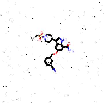 CCS(=O)(=O)N1CCC(c2c[nH]c3c(C(N)=O)cc(OCc4cccc(C#N)c4)cc23)CC1